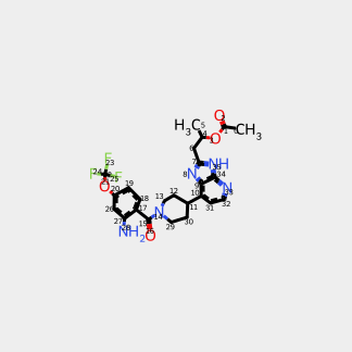 CC(=O)OC(C)Cc1nc2c(C3CCN(C(=O)c4ccc(OC(F)(F)F)cc4N)CC3)ccnc2[nH]1